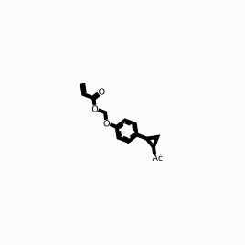 C=CC(=O)OCOc1ccc(C2CC2C(C)=O)cc1